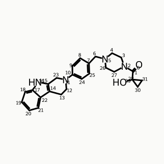 O=C(N1CCN(Cc2ccc(N3CCc4c([nH]c5ccccc45)C3)cc2)CC1)C1(O)CC1